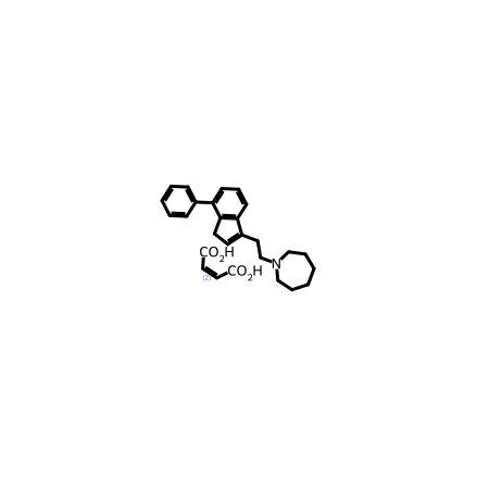 C1=C(CCN2CCCCCC2)c2cccc(-c3ccccc3)c2C1.O=C(O)/C=C\C(=O)O